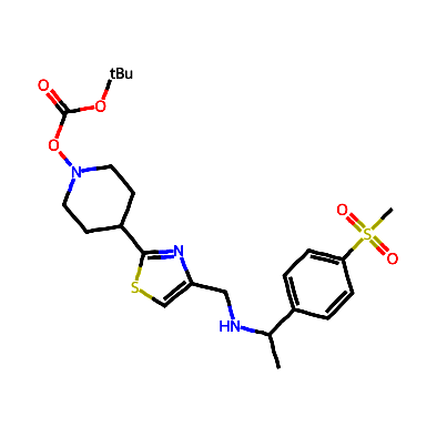 CC(NCc1csc(C2CCN(OC(=O)OC(C)(C)C)CC2)n1)c1ccc(S(C)(=O)=O)cc1